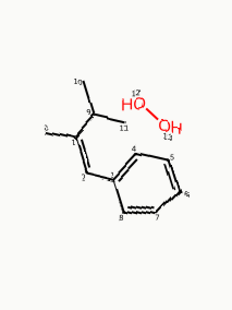 CC(=Cc1ccccc1)C(C)C.OO